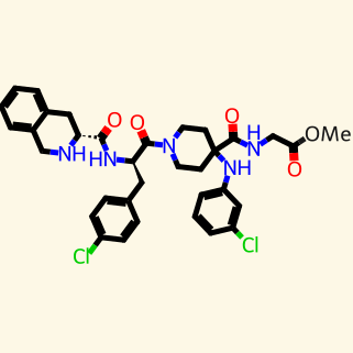 COC(=O)CNC(=O)C1(Nc2cccc(Cl)c2)CCN(C(=O)[C@@H](Cc2ccc(Cl)cc2)NC(=O)[C@H]2Cc3ccccc3CN2)CC1